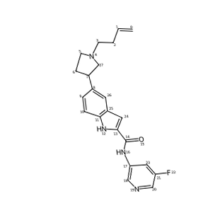 C=CCCN1CCC(c2ccc3[nH]c(C(=O)Nc4cncc(F)c4)cc3c2)C1